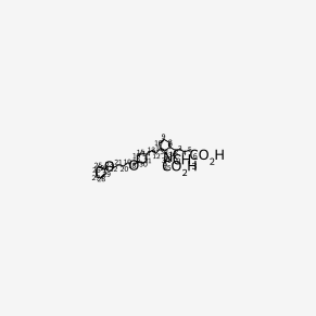 Cc1c(CCCC(=O)O)c2cccc(C=Cc3ccc(OCCCCOc4ccccc4)cc3)c2n1CC(=O)O